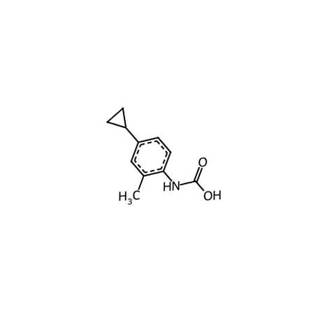 Cc1cc(C2CC2)ccc1NC(=O)O